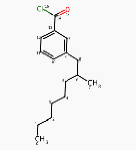 CCCCCCC(C)Cc1cccc(C(=O)Cl)c1